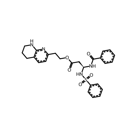 O=C(C[C@@H](NC(=O)c1ccccc1)NS(=O)(=O)c1ccccc1)OCCc1ccc2c(n1)NCCC2